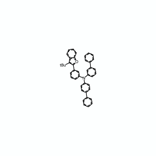 CC(C)(C)c1c(-c2cccc(N(c3ccc(-c4ccccc4)cc3)c3cccc(-c4ccccc4)c3)c2)oc2ccccc12